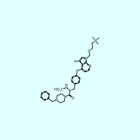 C[Si](C)(C)CCOCn1cc(I)c2c(Oc3ccc(C[C@H](NC(=O)O)C(=O)N4CCN(Cc5ccccc5)CC4)cc3)ccnc21